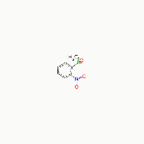 C=O.O=[N+]([O-])c1ccccc1Br